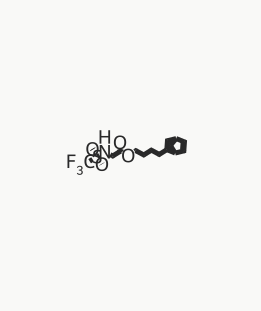 O=C(CNS(=O)(=O)C(F)(F)F)OCCCCC1CC2C=CC1C2